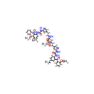 COc1ccccc1C(=O)c1cc(C)ccc1NC(=O)Nc1ncc(CCNC(=O)CN(CCc2cnc(NC(=O)Nc3ccc(C)cc3C(=O)c3ccccc3OC)s2)S(C)(=O)=O)s1